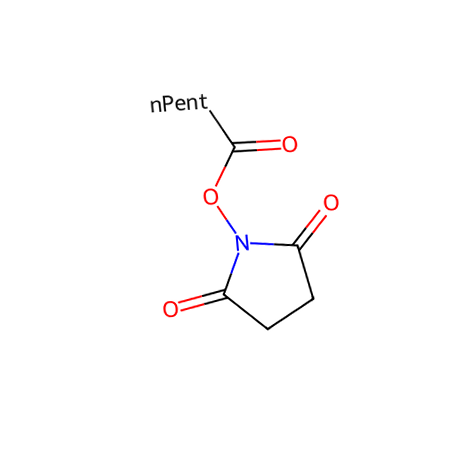 [CH2]CCCCC(=O)ON1C(=O)CCC1=O